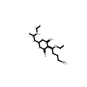 CCOC(CCCN)=C1C(=O)CC(CC(C)SCC)CC1=O